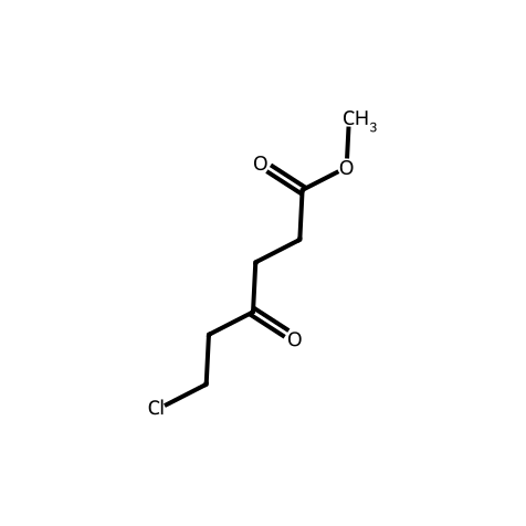 COC(=O)CCC(=O)CCCl